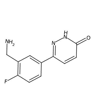 NCc1cc(-c2ccc(=O)[nH]n2)ccc1F